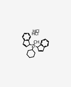 Cl.Cl.[CH3][Zr]([CH]1CCCCC1)([CH]1C=Cc2ccccc21)[CH]1C=Cc2ccccc21